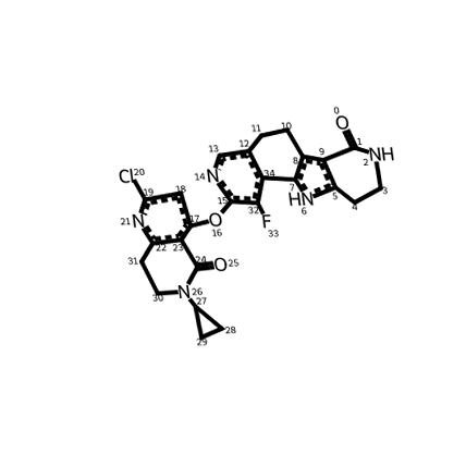 O=C1NCCc2[nH]c3c(c21)CCc1cnc(Oc2cc(Cl)nc4c2C(=O)N(C2CC2)CC4)c(F)c1-3